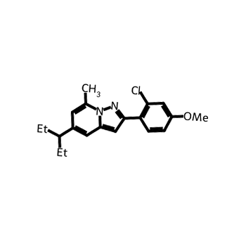 CCC(CC)c1cc(C)n2nc(-c3ccc(OC)cc3Cl)cc2c1